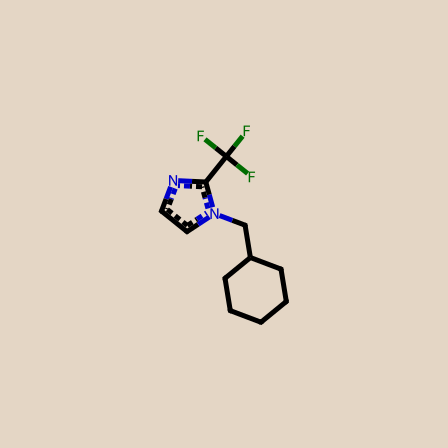 FC(F)(F)c1nccn1CC1CCCCC1